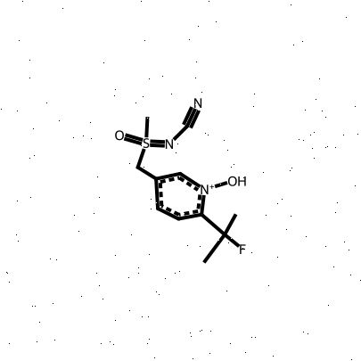 CC(C)(F)c1ccc(CS(C)(=O)=NC#N)c[n+]1O